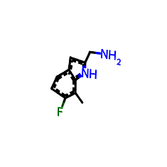 Cc1c(F)ccc2cc(CN)[nH]c12